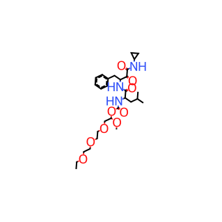 CCOCCOCCOCC(OC)OC(=O)NC(CC(C)C)C(=O)NC(Cc1ccccc1)C(=O)C(=O)NC1CC1